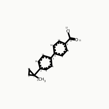 CC1(c2ccc(-c3ccc(C(=O)Cl)cc3)cc2)CC1